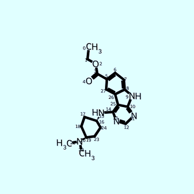 CCOC(=O)c1ccc2[nH]c3ncnc(N[C@H]4CC[C@H](N(C)C)CC4)c3c2c1